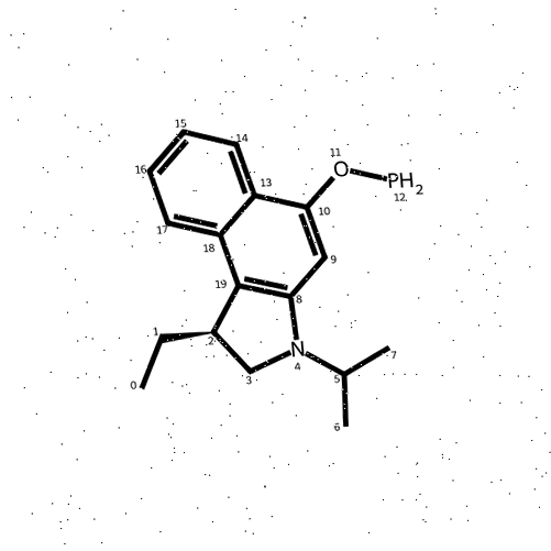 CC[C@@H]1CN(C(C)C)c2cc(OP)c3ccccc3c21